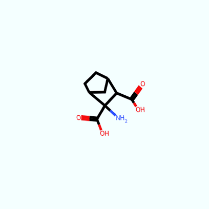 NC1(C(=O)O)C2CCC(C2)C1C(=O)O